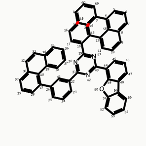 c1ccc(-c2cccc3cccc(-c4ccccc4-c4nc(-c5cccc(-c6cccc7ccc8ccccc8c67)c5)nc(-c5cccc6c5oc5ccccc56)n4)c23)cc1